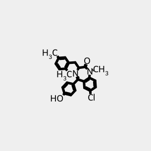 Cc1ccc(C)c(CC2N=C(c3ccc(O)cc3)c3cc(Cl)ccc3N(C)C2=O)c1